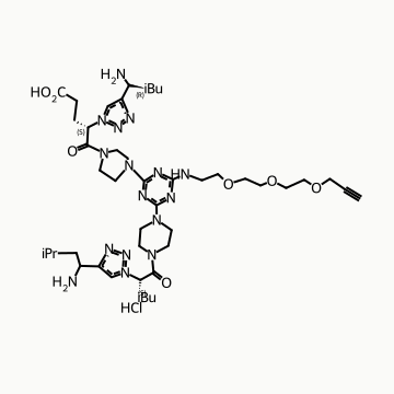 C#CCOCCOCCOCCNc1nc(N2CCN(C(=O)C([C@@H](C)CC)n3cc(C(N)CC(C)C)nn3)CC2)nc(N2CCN(C(=O)[C@H](CCC(=O)O)n3cc(C(N)[C@H](C)CC)nn3)CC2)n1.Cl